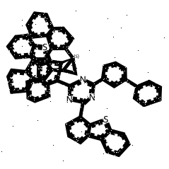 c1ccc(-c2cccc(-c3nc(-c4c([C@@]56CC5c5cc7ccccc7cc5-c5c6ccc6ccccc56)c5sc6ccccc6c5c5ccccc45)nc(-c4cccc5c4sc4ccccc45)n3)c2)cc1